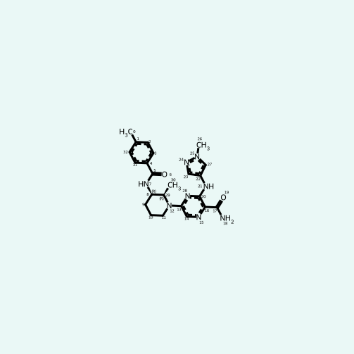 Cc1ccc(C(=O)N[C@@H]2CCCN(c3cnc(C(N)=O)c(Nc4cnn(C)c4)n3)[C@@H]2C)cc1